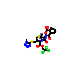 Cn1nnnc1SCC1=C(C(=O)OCC(Cl)(Cl)Cl)N2C(=O)C(NC(=O)c3ccccc3C(=O)O)[C@H]2SC1